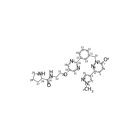 Cn1cc(-c2ccc(=O)n(Cc3cccc(-c4ncc(OCCNC(=O)C5CCCN5)cn4)c3)n2)cn1